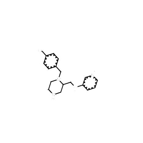 Clc1ccc(CN2CCNCC2COc2cccnc2)cc1